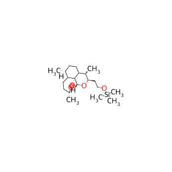 C[C@@H]1CCC2[C@@H](C)[C@@H](CCO[Si](C)(C)C)O[C@@H]3O[C@]4(C)CC[C@@H]1[C@@]23OO4